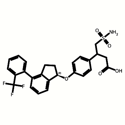 NS(=O)(=O)CC(CC(=O)O)c1ccc(O[C@@H]2CCc3c(-c4ccccc4C(F)(F)F)cccc32)cc1